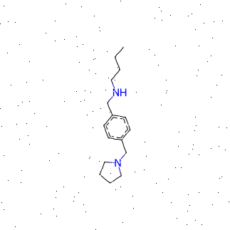 CCCCNCc1ccc(CN2CCCC2)cc1